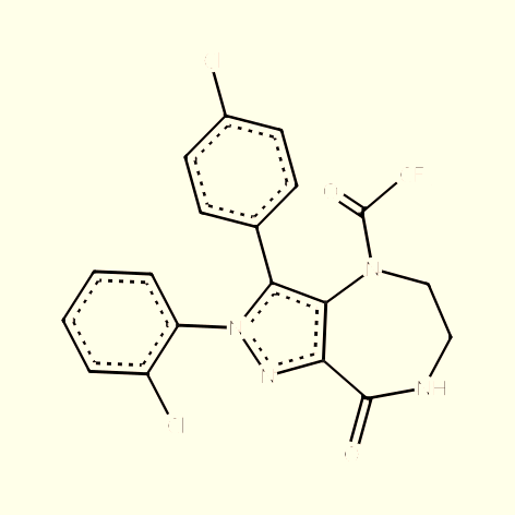 O=C1NCCN(C(=O)C(F)(F)F)c2c1nn(-c1ccccc1Cl)c2-c1ccc(Cl)cc1